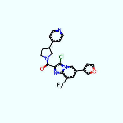 O=C(c1nc2c(C(F)(F)F)cc(-c3ccoc3)cn2c1Cl)N1CCC(c2ccncc2)C1